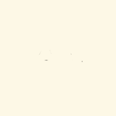 CC(=O)C(C)(O)CCc1ccc(F)cc1